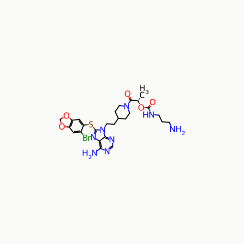 C[C@H](OC(=O)NCCCN)C(=O)N1CCC(CCn2c(Sc3cc4c(cc3Br)OCO4)nc3c(N)ncnc32)CC1